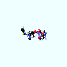 C=C(N[C@@H](Cc1cnc[nH]1)C(=O)N[C@@H](C)C(=O)OCCOc1ccc(-c2c(C#N)c(SCc3csc(-c4ccc(Cl)cc4)n3)nc(N3CCCC3)c2C#N)cc1)OC(C)(C)C